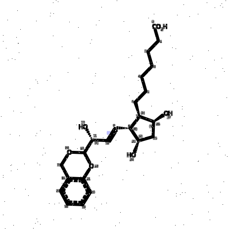 O=C(O)CCCCCC[C@@H]1[C@@H](/C=C/[C@@H](O)C2OCc3ccccc3O2)[C@H](O)C[C@@H]1O